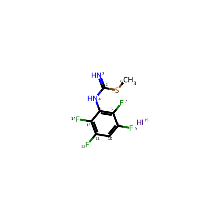 CSC(=N)Nc1c(F)c(F)cc(F)c1F.I